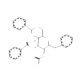 CC(=O)NC1C(Cc2ccccc2)OC2COC(c3ccccc3)O[C@H]2[C@@H]1OC(=O)c1ccccc1